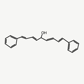 OC(/C=C/C=C/c1ccccc1)/C=C/C=C/c1ccccc1